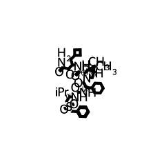 CC(C)[C@@H](CS(=O)(=O)Cc1ccccc1)NC(=O)N[C@H](C(=O)N1C[C@H]2[C@@H]([C@H]1C(=O)NC(CC1CCC1)C(=O)C(N)=O)C2(C)C)C1CCCCC1